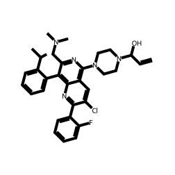 C=CC(O)N1CCN(c2nc(CN(C)C)c(-c3ccccc3C(C)C)c3nc(-c4ccccc4F)c(Cl)cc23)CC1